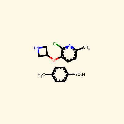 Cc1ccc(OC2CNC2)c(Cl)n1.Cc1ccc(S(=O)(=O)O)cc1